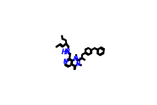 C=C(NC)c1ccnc(CNCC(CCC)CCC)c1N(C)CC(C)CC1=CC=C(Cc2ccccc2)CC1